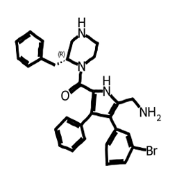 NCc1[nH]c(C(=O)N2CCNC[C@H]2Cc2ccccc2)c(-c2ccccc2)c1-c1cccc(Br)c1